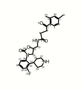 Cc1ccc(C(=O)CCC(=O)NCC2CN(c3cccc(F)c3C3CCNCC3)C(=O)O2)c(C)c1